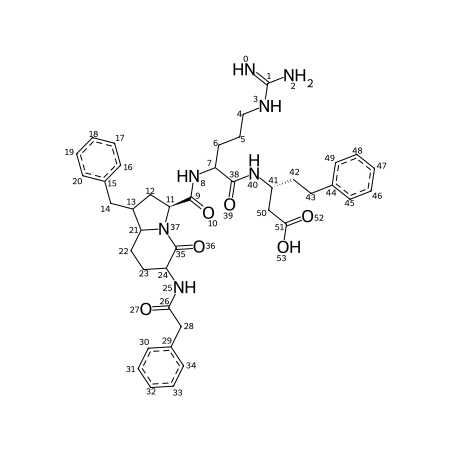 N=C(N)NCCCC(NC(=O)[C@@H]1CC(Cc2ccccc2)C2CCC(NC(=O)Cc3ccccc3)C(=O)N21)C(=O)N[C@H](CCc1ccccc1)CC(=O)O